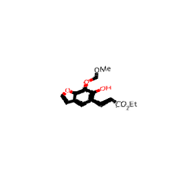 CCOC(=O)/C=C/c1cc2ccoc2c(OCOC)c1O